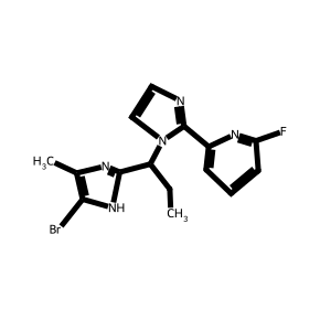 CCC(c1nc(C)c(Br)[nH]1)n1ccnc1-c1cccc(F)n1